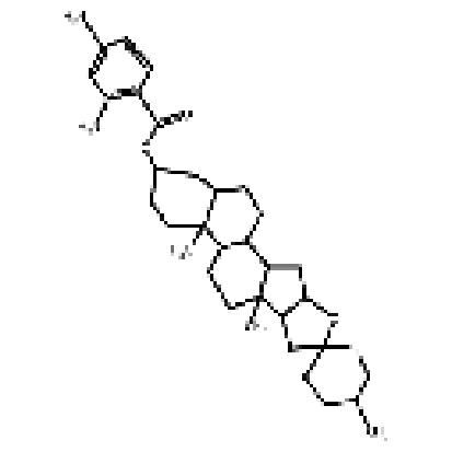 CC1CCC2(CC3C(CC4C5CCC6CC(OC(=O)c7ccc(N)cc7N)CCC6(C)C5CCC34C)O2)OC1